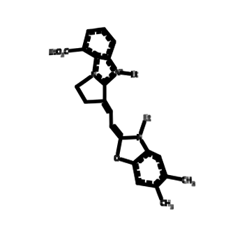 CCOC(=O)c1cccc2c1n1c([n+]2CC)C(=CC=C2Oc3cc(C)c(C)cc3N2CC)CC1